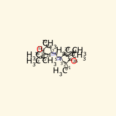 CCC1=C/C(=C/C=C2/C=C(C)C(=O)C(C(C)(C)C)=C2)C=C(C(C)(C)C)C1=O